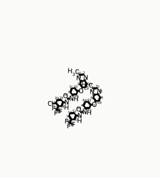 Cc1cnc2ccc(Oc3cccc(NC(=O)Nc4ccc(Cl)c(C(F)(F)F)c4)c3)cc2n1.Cc1cnc2ccc(Oc3cccc(NC(=O)Nc4cccc(C(F)(F)F)c4)c3)cc2n1